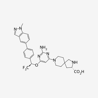 Cn1ncc2cc(-c3ccc([C@@H](Oc4cc(N5CCC6(CC5)CN[C@H](C(=O)O)C6)nc(N)n4)C(F)(F)F)cc3)ccc21